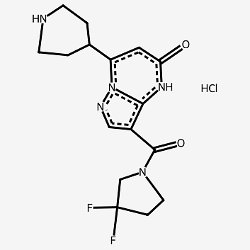 Cl.O=C(c1cnn2c(C3CCNCC3)cc(=O)[nH]c12)N1CCC(F)(F)C1